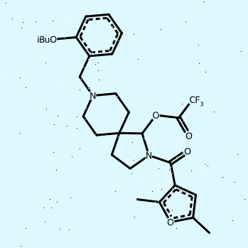 Cc1cc(C(=O)N2CCC3(CCN(Cc4ccccc4OCC(C)C)CC3)C2OC(=O)C(F)(F)F)c(C)o1